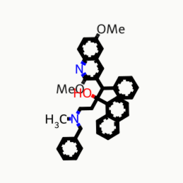 COc1ccc2nc(OC)c(C(c3ccccc3)C(O)(CCN(C)Cc3ccccc3)c3cccc4ccccc34)cc2c1